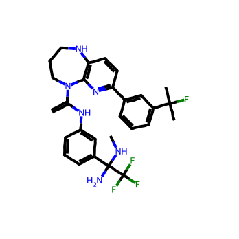 C=C(Nc1cccc(C(N)(NC)C(F)(F)F)c1)N1CCCNc2ccc(-c3cccc(C(C)(C)F)c3)nc21